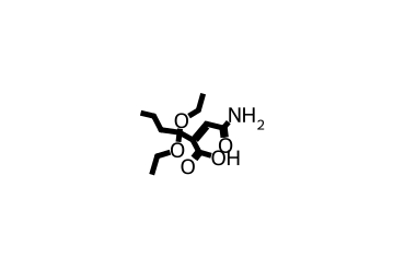 CCCC(OCC)(OCC)C(=CC(N)=O)C(=O)O